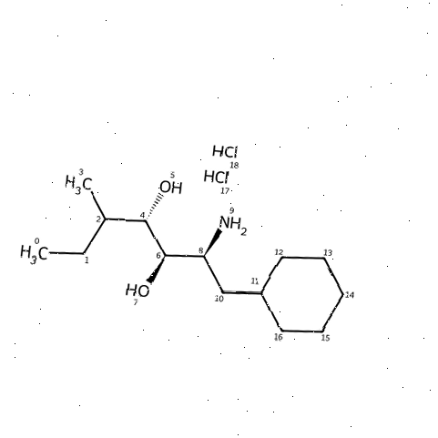 CCC(C)[C@H](O)[C@H](O)[C@@H](N)CC1CCCCC1.Cl.Cl